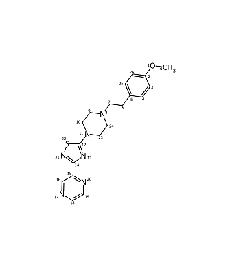 COc1ccc(CCN2CCN(c3nc(-c4cnccn4)ns3)CC2)cc1